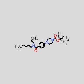 C=CCN(CCCCC)C(=O)c1ccc(N2CCN(C(=O)OC(C)(C)C)CC2)cc1